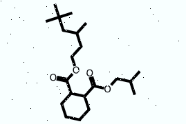 CC(C)COC(=O)C1CCCCC1C(=O)OCCC(C)CC(C)(C)C